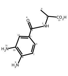 CC(NC(=O)c1ccc(N)c(N)c1)C(=O)O